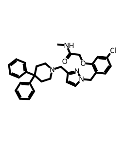 CNC(=O)COc1cc(Cl)ccc1Cn1ccc(CN2CCC(c3ccccc3)(c3ccccc3)CC2)n1